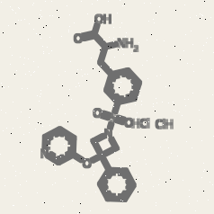 Cl.Cl.NC(Cc1cccc(S(=O)(=O)N2CC(Oc3cccnc3)(c3ccccc3)C2)c1)C(=O)O